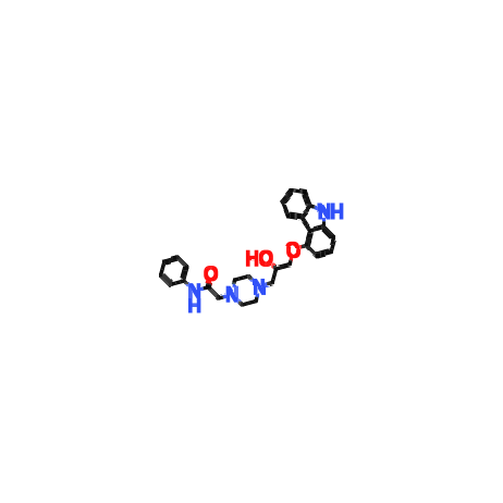 O=C(CN1CCN(CC(O)COc2cccc3[nH]c4ccccc4c23)CC1)Nc1ccccc1